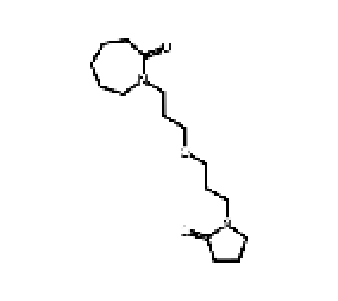 O=C1CCCCCN1CCCOCCCN1CCCC1=O